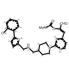 CNC(=O)S/C(C=O)=C\c1ccnc(N2CCC(CNCc3ccc(-c4ccccc4Cl)o3)CC2)n1